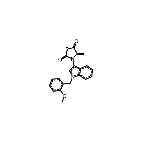 C=C1C(=O)SC(=O)N1c1cn(Cc2ccccc2OC)c2ccccc12